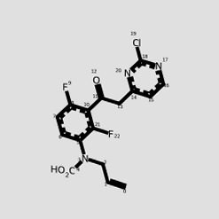 C=CCN(C(=O)O)c1ccc(F)c(C(=O)Cc2ccnc(Cl)n2)c1F